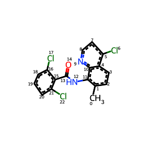 Cc1ccc2c(Cl)ccnc2c1NC(=O)c1c(Cl)cccc1Cl